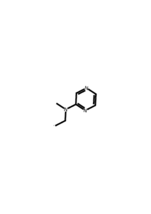 [CH2]CN(C)c1cnccn1